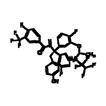 CC(C)Oc1cc([C@](Cc2ccc(O)cc2)(NC(=O)c2ccc(F)c(C(F)(F)F)c2)c2cc(F)cc(OC(F)(F)C(F)F)c2)ccc1F